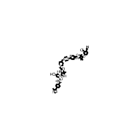 Cc1ncsc1-c1ccc([C@H](C)NC(=O)[C@@H]2C[C@@H](O)CN2C(O)[C@@H](NC(=O)CN2CCC(CN3CCN(c4ccc(C(=O)NC5C(C)(C)C(Oc6ccc(C#N)c(Cl)c6)C5(C)C)cn4)CC3)CC2)C(C)(C)C)cc1